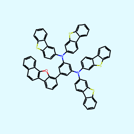 c1ccc2c(c1)ccc1c3cccc(-c4cc(N(c5ccc6c(c5)sc5ccccc56)c5ccc6c(c5)sc5ccccc56)cc(N(c5ccc6c(c5)sc5ccccc56)c5ccc6sc7ccccc7c6c5)c4)c3oc21